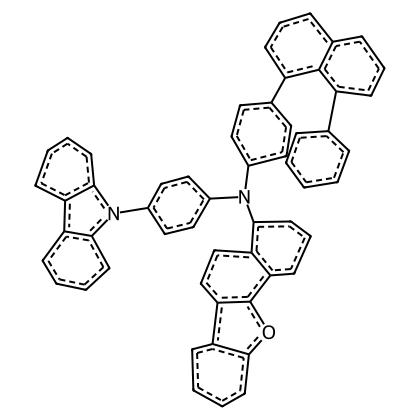 c1ccc(-c2cccc3cccc(-c4ccc(N(c5ccc(-n6c7ccccc7c7ccccc76)cc5)c5cccc6c5ccc5c7ccccc7oc65)cc4)c23)cc1